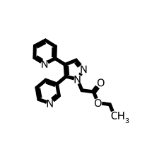 CCOC(=O)Cn1ncc(-c2ccccn2)c1-c1cccnc1